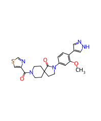 COc1cc(N2CCC3(CCN(C(=O)c4cscn4)CC3)C2=O)ccc1-c1cn[nH]c1